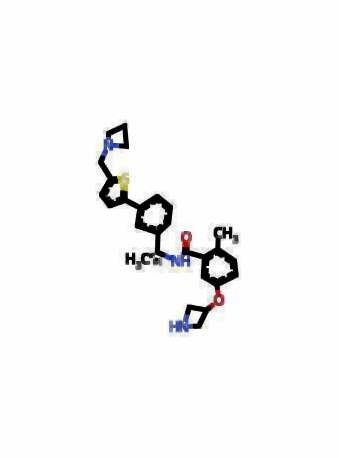 Cc1ccc(OC2CNC2)cc1C(=O)N[C@H](C)c1cccc(-c2ccc(CN3CCC3)s2)c1